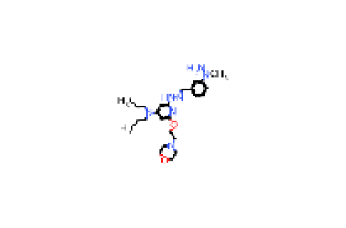 CCCN(CCC)c1cc(N/N=C/c2cccc(N(C)N)c2)nc(OCCN2CCOCC2)c1